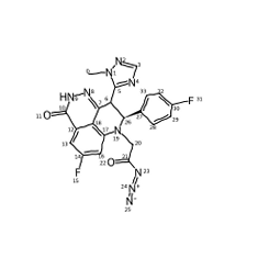 Cn1ncnc1C1c2n[nH]c(=O)c3cc(F)cc(c23)N(CC(=O)N=[N+]=[N-])[C@@H]1c1ccc(F)cc1